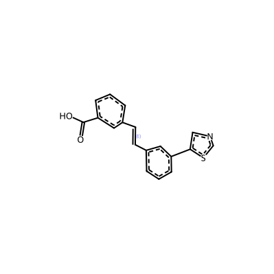 O=C(O)c1cccc(/C=C/c2cccc(-c3cncs3)c2)c1